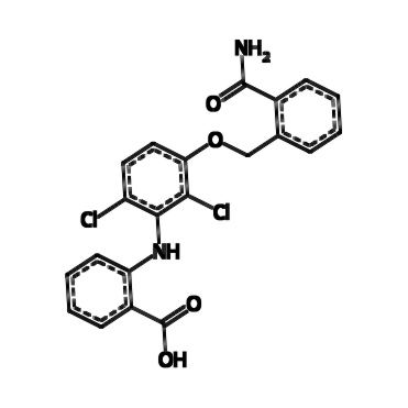 NC(=O)c1ccccc1COc1ccc(Cl)c(Nc2ccccc2C(=O)O)c1Cl